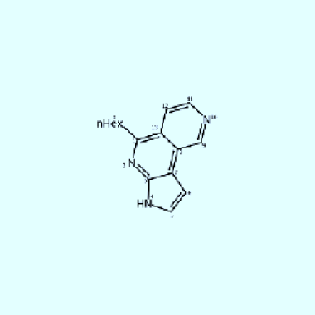 CCCCCCc1nc2[nH]ccc2c2cnccc12